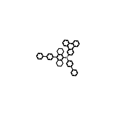 c1ccc(-c2ccc(-c3c4c(c(N(c5ccc(-c6ccccc6)cc5)c5ccc6c7ccccc7c7ccccc7c6c5)c5c3CCCC5)CCCC4)cc2)cc1